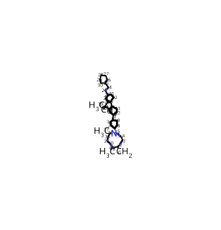 C=C1/C=C\C=C/N(c2ccc(-c3ccc4c(c3)C(C)(C)c3cc(/C=C/C5=CCCC=C5)ccc3-4)cc2)C(C)/C=C\C=C\1C